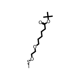 CC(C)(C)OC(=O)CCCCCOCCOSI